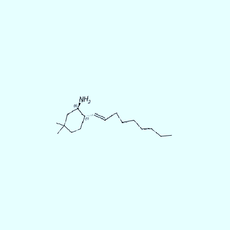 CCCCCCCC=C[C@@H]1CCC(C)(C)C[C@H]1N